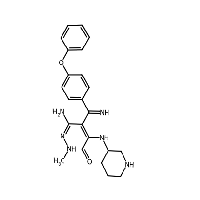 CN/N=C(N)\C(C(=N)c1ccc(Oc2ccccc2)cc1)=C(/C=O)NC1CCCNC1